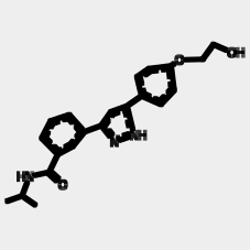 CC(C)NC(=O)c1cccc(-c2cc(-c3ccc(OCCO)cc3)[nH]n2)c1